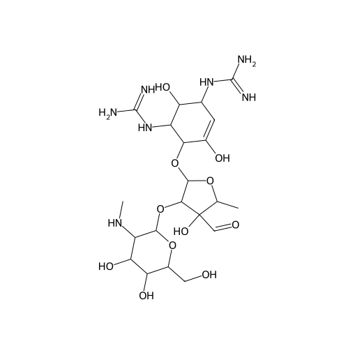 CNC1C(OC2C(OC3C(O)=CC(NC(=N)N)C(O)C3NC(=N)N)OC(C)C2(O)C=O)OC(CO)C(O)C1O